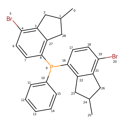 CC1Cc2c(Br)ccc(P(c3ccccc3)c3ccc(Br)c4c3CC(C)C4)c2C1